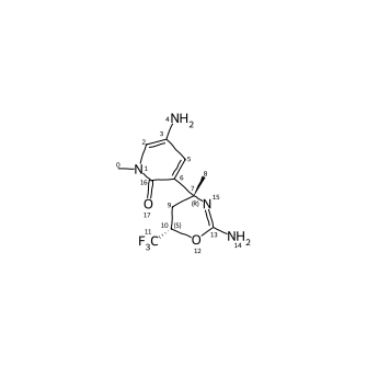 Cn1cc(N)cc([C@@]2(C)C[C@@H](C(F)(F)F)OC(N)=N2)c1=O